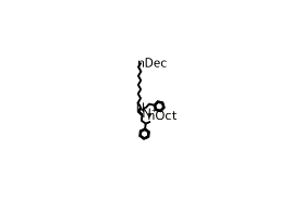 CCCCCCCCCCCCCCCCCCCn1cc(CC(C)c2ccccc2)[n+](CCCCCCCC)c1Cc1ccccc1